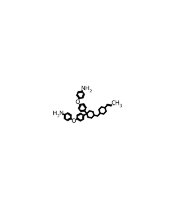 CCCC1CCC(CC2CCC(c3ccc(Oc4ccc(N)cc4)cc3)(c3ccc(Oc4ccc(N)cc4)cc3)CC2)CC1